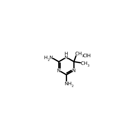 CC1(C)N=C(N)N=C(N)N1.Cl